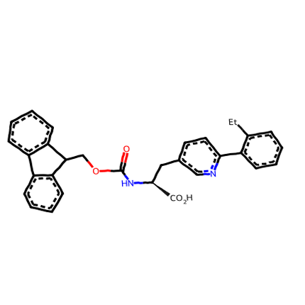 CCc1ccccc1-c1ccc(C[C@H](NC(=O)OCC2c3ccccc3-c3ccccc32)C(=O)O)cn1